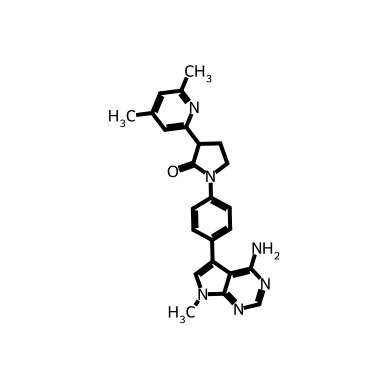 Cc1cc(C)nc(C2CCN(c3ccc(-c4cn(C)c5ncnc(N)c45)cc3)C2=O)c1